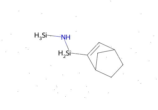 [SiH3]N[SiH2]C1=CC2CCC1C2